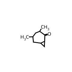 CC1CC(C)C(=O)C2CC2C1